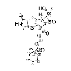 CC1C(SC2CNC(=O)C2)=C(C(=O)OCOC(=O)C2(C)CCCCC2)N2C(=O)C([C@@H](C)O)[C@H]12